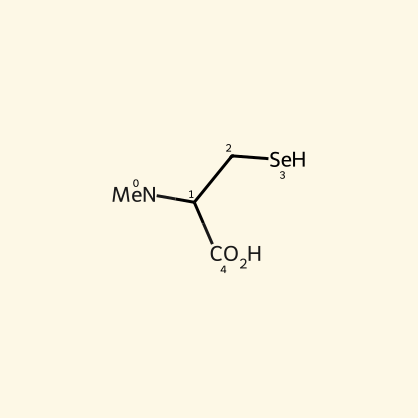 CNC(C[SeH])C(=O)O